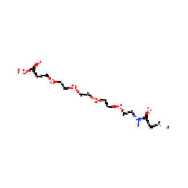 CCC(=O)NCCOCCOCCOCCOCCC(=O)O